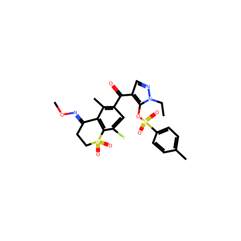 CCn1ncc(C(=O)c2cc(F)c3c(c2C)C(=NOC)CCS3(=O)=O)c1OS(=O)(=O)c1ccc(C)cc1